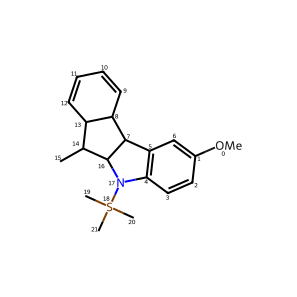 COc1ccc2c(c1)C1C3C=CC=CC3C(C)C1N2S(C)(C)C